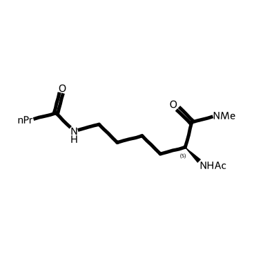 CCCC(=O)NCCCC[C@H](NC(C)=O)C(=O)NC